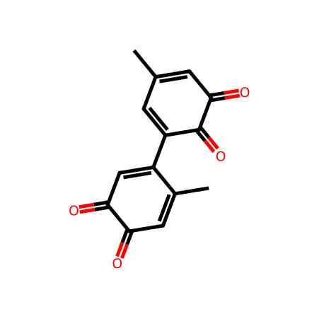 CC1=CC(=O)C(=O)C(C2=CC(=O)C(=O)C=C2C)=C1